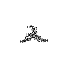 CCCC(=O)OCCN1C(=O)N(CCOC(=O)CCS)C(=O)N(CCOC(=O)CCS)C1O